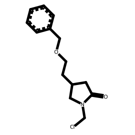 O=C1CC(CCOCc2ccccc2)CN1CCl